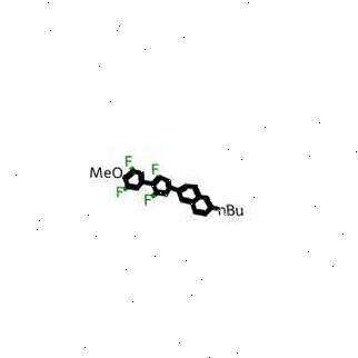 CCCCc1ccc2cc(-c3cc(F)c(-c4cc(F)c(OC)c(F)c4)c(F)c3)ccc2c1